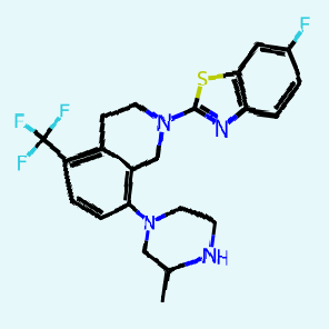 CC1CN(c2ccc(C(F)(F)F)c3c2CN(c2nc4ccc(F)cc4s2)CC3)CCN1